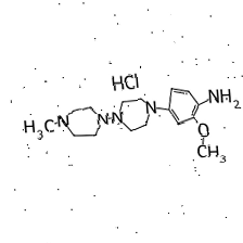 COc1cc(N2CCN(N3CCN(C)CC3)CC2)ccc1N.Cl